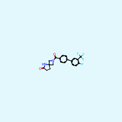 O=C1CCC2(CN(C(=O)c3ccc(-c4ccc(F)c(C(F)(F)F)c4)cc3)C2)N1